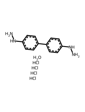 Cl.Cl.Cl.Cl.NNc1ccc(-c2ccc(NN)cc2)cc1.O